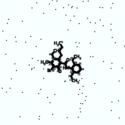 CCCCc1c(C(=O)Nc2c(CC)cccc2CC)c(=O)c(Br)c(C)n1CC